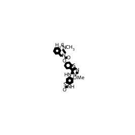 COc1cc2[nH]c(=O)sc2cc1Nc1ncnc2sc3c(c12)CCC(OC(=O)N(CCN(C)C)Cc1ccccc1)C3